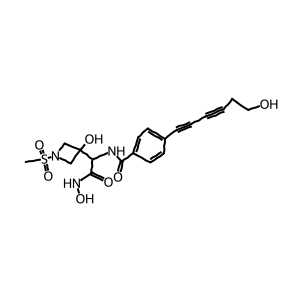 CS(=O)(=O)N1CC(O)(C(NC(=O)c2ccc(C#CC#CCCO)cc2)C(=O)NO)C1